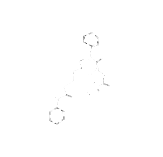 NS(=O)(=O)C(=O)NN(O)C(=O)[C@@H](CCCCCC(=O)Nc1ccccc1)c1ccccc1